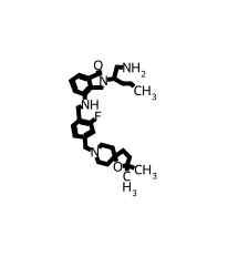 CCCC(CN)N1Cc2c(NCc3ccc(CN4CCC5(CC4)CCC(C)(C)O5)cc3F)cccc2C1=O